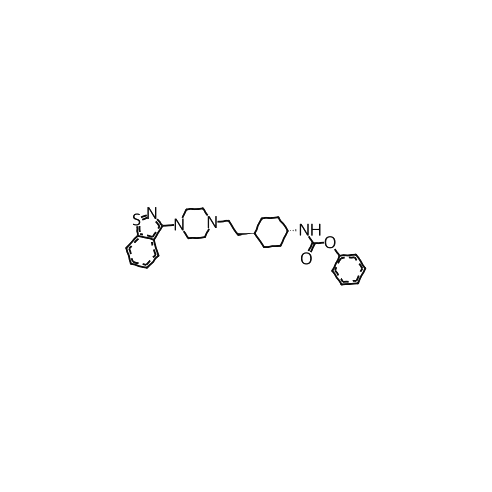 O=C(N[C@H]1CC[C@H](CCN2CCN(c3nsc4ccccc34)CC2)CC1)Oc1ccccc1